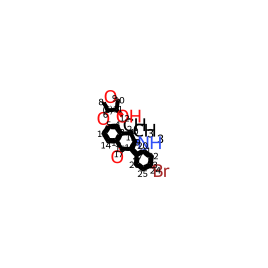 CC1(C)c2cc(O[C@H]3COCC3O)ccc2C(=O)c2c1[nH]c1cc(Br)ccc21